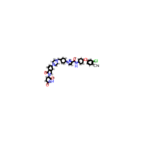 N#Cc1ccc(OC2CCC(NC(=O)c3ccn(C4CCC(CN5CCN(c6ccc7c(c6)CN(C6CCC(=O)NC6=O)C7=O)CC5)CC4)n3)CC2)cc1Cl